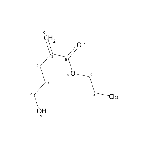 C=C(CCCO)C(=O)OCCCl